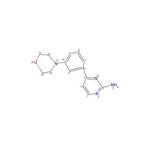 Nc1nccc(-c2cccc(N3CCOCC3)c2)n1